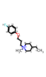 CCC1CC[N+](C)(CCCOc2ccc(F)cc2)CC1